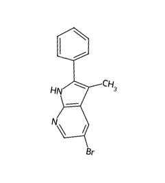 Cc1c(-c2ccccc2)[nH]c2ncc(Br)cc12